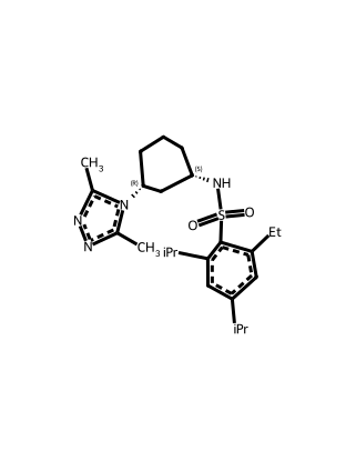 CCc1cc(C(C)C)cc(C(C)C)c1S(=O)(=O)N[C@H]1CCC[C@@H](n2c(C)nnc2C)C1